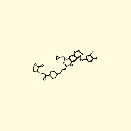 O=C(C=CCN1CCN(C(=O)CSC2CCOC2=O)CC1)Nc1cc2c(Nc3ccc(F)c(Cl)c3)ncnc2cc1OCC1CC1